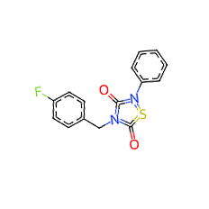 O=c1sn(-c2ccccc2)c(=O)n1Cc1ccc(F)cc1